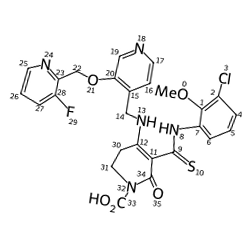 COc1c(Cl)cccc1NC(=S)C1=C(NCc2ccncc2OCc2ncccc2F)CCN(C(=O)O)C1=O